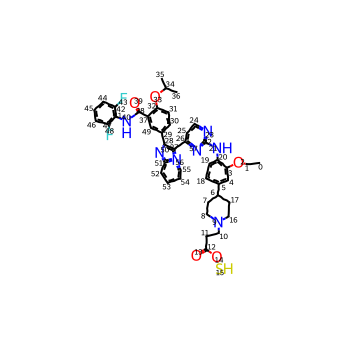 CCOc1cc(C2CCN(CCC(=O)OS)CC2)ccc1Nc1nccc(-c2c(-c3ccc(OC(C)C)c(C(=O)Nc4c(F)cccc4F)c3)nc3ccccn23)n1